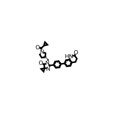 O=C1CCc2ccc(-c3ccc(C4=NC5(CC5)C(=O)N4C[C@@H]4CCN(C(=O)C5CC5)C4)cc3)cc2N1